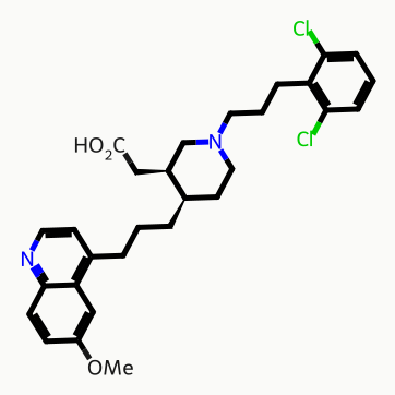 COc1ccc2nccc(CCC[C@@H]3CCN(CCCc4c(Cl)cccc4Cl)C[C@@H]3CC(=O)O)c2c1